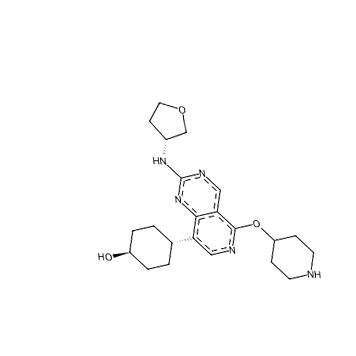 O[C@H]1CC[C@H](c2cnc(OC3CCNCC3)c3cnc(N[C@@H]4CCOC4)nc32)CC1